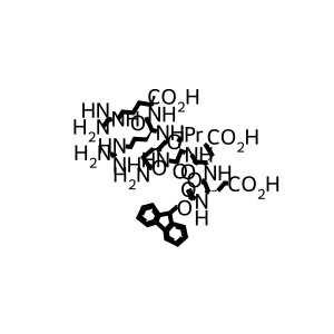 CC(C)C[C@H](NC(=O)[C@H](CCC(=O)O)NC(=O)[C@H](CCC(=O)O)NC(=O)OCC1c2ccccc2-c2ccccc21)C(=O)N[C@@H](CCC(N)=O)C(=O)N[C@@H](CCCNC(=N)N)C(=O)N[C@@H](CCCNC(=N)N)C(=O)O